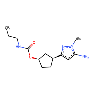 CC(C)(C)n1nc([C@H]2CC[C@@H](OC(=O)NCCC(F)(F)F)C2)cc1N